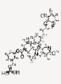 COc1nccc(CN(C(=O)C2=C(c3ccc(CCCOc4c(F)ccc(F)c4Cl)cc3)C(C)(C)CN(C(=O)Oc3cccc(CON(O)O)c3)C2)C2CC2)c1C